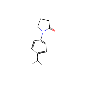 CCC(C(=O)O)c1ccc(N2CCCC2=O)cc1